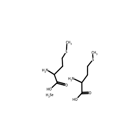 CSCCC(N)C(=O)O.CSCCC(N)C(=O)O.[SeH2]